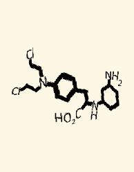 NC1CCCC(NC(Cc2ccc(N(CCCl)CCCl)cc2)C(=O)O)C1